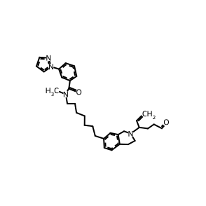 C=CC(CCC=O)N1CCc2ccc(CCCCCCCN(C)C(=O)c3cccc(-n4cccn4)c3)cc2C1